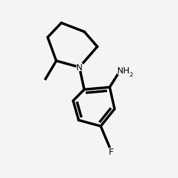 CC1CCCCN1c1ccc(F)cc1N